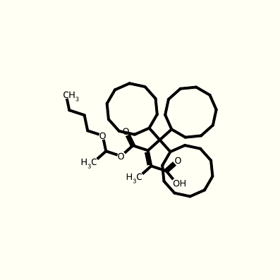 CCCCOC(C)OC(=O)/C(=C(\C)C(=O)O)C(C1CCCCCCCCC1)(C1CCCCCCCCC1)C1CCCCCCCCC1